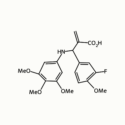 C=C(C(=O)O)C(Nc1cc(OC)c(OC)c(OC)c1)c1ccc(OC)c(F)c1